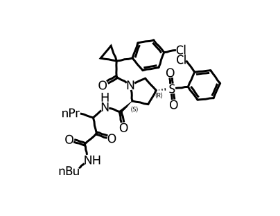 CCCCNC(=O)C(=O)C(CCC)NC(=O)[C@@H]1C[C@@H](S(=O)(=O)c2ccccc2Cl)CN1C(=O)C1(c2ccc(Cl)cc2)CC1